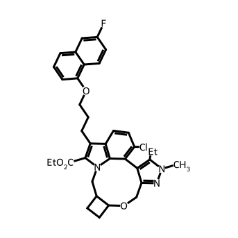 CCOC(=O)c1c(CCCOc2cccc3cc(F)ccc23)c2ccc(Cl)c3c2n1CC1CCC1OCc1nn(C)c(CC)c1-3